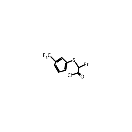 CCC(Sc1cccc(C(F)(F)F)c1)C(=O)Cl